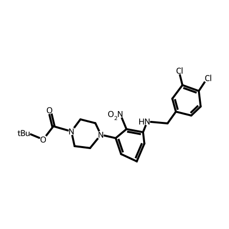 CC(C)(C)OC(=O)N1CCN(c2cccc(NCc3ccc(Cl)c(Cl)c3)c2[N+](=O)[O-])CC1